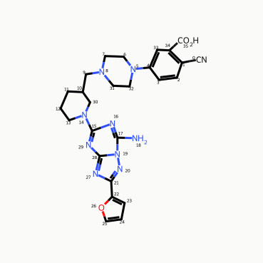 N#Cc1ccc(N2CCN(CC3CCCN(c4nc(N)n5nc(-c6ccco6)nc5n4)C3)CC2)cc1C(=O)O